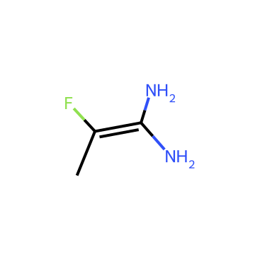 CC(F)=C(N)N